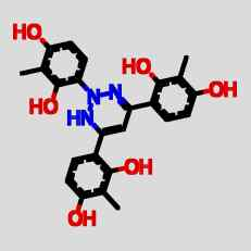 Cc1c(O)ccc(C2=CC(c3ccc(O)c(C)c3O)=NN(c3ccc(O)c(C)c3O)N2)c1O